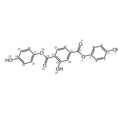 O=C(Oc1ccc(O)cc1)c1ccc(C(=O)Oc2ccc(O)cc2)c(O)c1